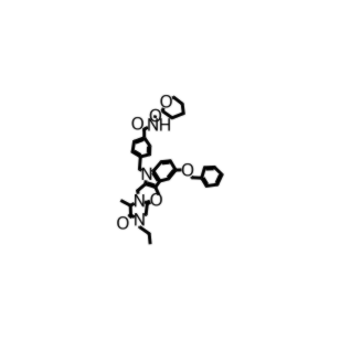 CCCN1CC(=O)N(Cc2c(C)c3cc(OCc4ccccc4)ccc3n2Cc2ccc(C(=O)NOC3CCCCO3)cc2)C(C)C1=O